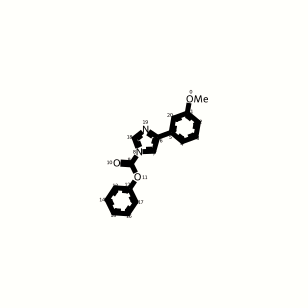 COc1cccc(-c2cn(C(=O)Oc3ccccc3)cn2)c1